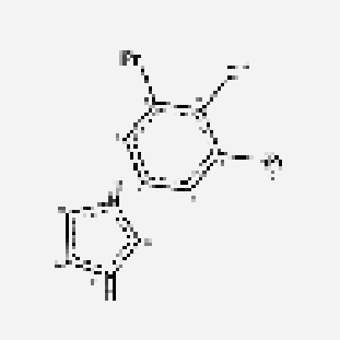 CC(C)c1cccc(C(C)C)c1Cl.c1c[nH]cn1